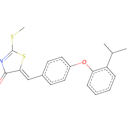 CSC1=NC(=O)C(=Cc2ccc(Oc3ccccc3C(C)C)cc2)S1